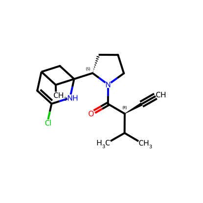 C#C[C@H](C(=O)N1CCC[C@H]1C12CC(C=C(Cl)N1)C2C)C(C)C